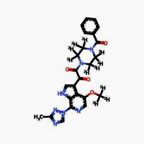 [2H]C([2H])([2H])Oc1cnc(-n2cnc(C)n2)c2[nH]cc(C(=O)C(=O)N3C([2H])([2H])C([2H])([2H])N(C(=O)c4ccccc4)C([2H])([2H])C3([2H])[2H])c12